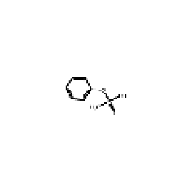 CP(O)(=S)Oc1ccccc1